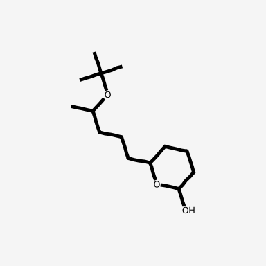 CC(CCCC1CCCC(O)O1)OC(C)(C)C